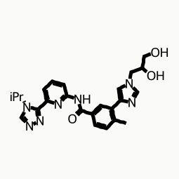 Cc1ccc(C(=O)Nc2cccc(-c3nncn3C(C)C)n2)cc1-c1cn(CC(O)CO)cn1